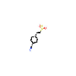 N#Cc1ccc(/C=C/[SH](=O)=O)cc1